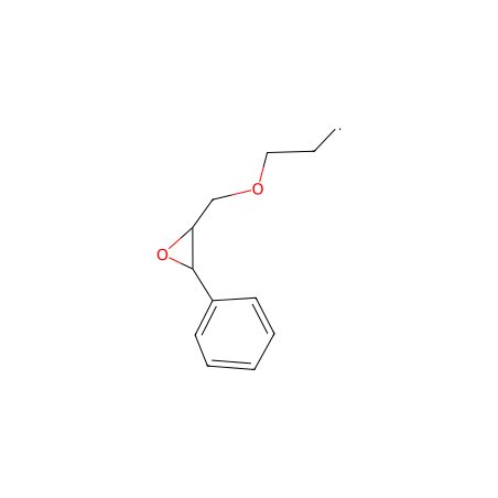 [CH2]CCOCC1OC1c1ccccc1